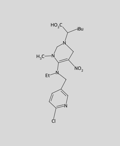 CCC(C)C(C(=O)O)N1CC([N+](=O)[O-])=C(N(CC)Cc2ccc(Cl)nc2)N(C)C1